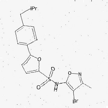 Cc1noc(NS(=O)(=O)c2ccc(-c3ccc(CC(C)C)cc3)o2)c1Br